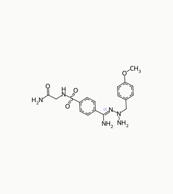 COc1ccc(CN(N)/N=C(\N)c2ccc(S(=O)(=O)NCC(N)=O)cc2)cc1